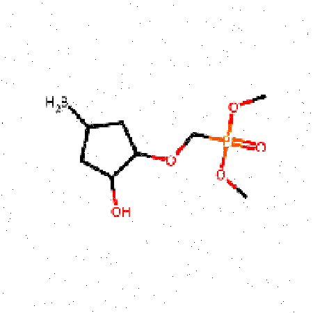 BC1CC(O)C(OCP(=O)(OC)OC)C1